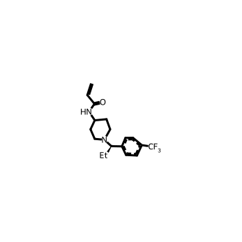 C=CC(=O)NC1CCN([C@H](CC)c2ccc(C(F)(F)F)cc2)CC1